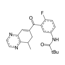 CC1CC(C(=O)c2cc(NC(=O)C(C)(C)C)ccc2F)=Cc2nccnc21